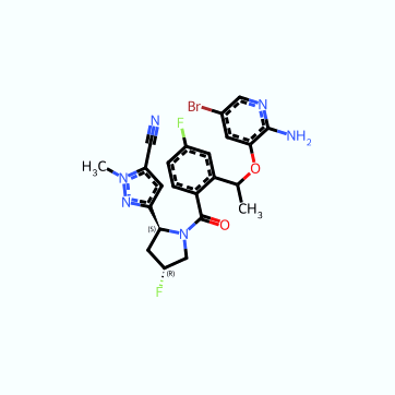 CC(Oc1cc(Br)cnc1N)c1cc(F)ccc1C(=O)N1C[C@H](F)C[C@H]1c1cc(C#N)n(C)n1